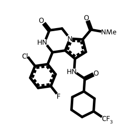 CNC(=O)c1cc(NC(=O)C2CCCC(C(F)(F)F)C2)c2n1CC(=O)NC2c1cc(F)ccc1Cl